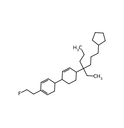 CCCC(CC)(CCCC1CCCC1)C1C=CC(C2C=CC(CCF)=CC2)CC1